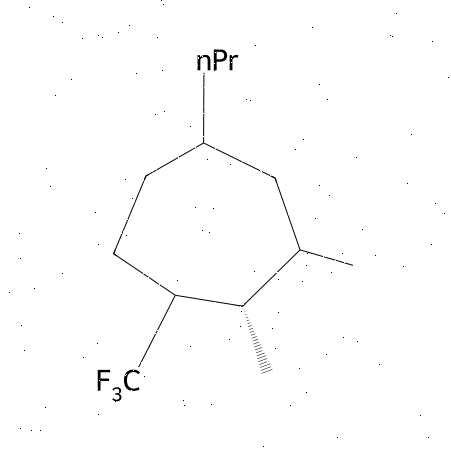 CCCC1CCC(C(F)(F)F)[C@@H](C)C(C)C1